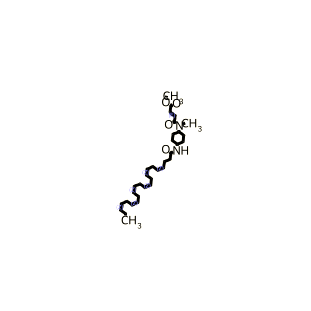 CC/C=C\C/C=C\C/C=C\C/C=C\C/C=C\C/C=C\CCC(=O)NC1CCC(N(C)C(=O)/C=C/C(=O)OC)CC1